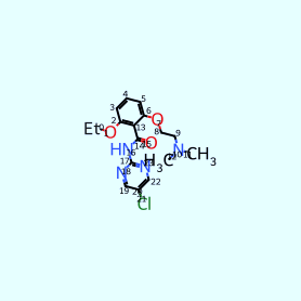 CCOc1cccc(OCCN(C)C)c1C(=O)Nc1ncc(Cl)cn1